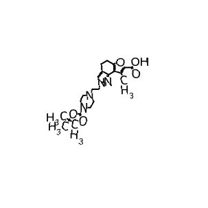 Cc1c(C(=O)O)oc2c1-c1nn(CCN3CCN(C(=O)OC(C)(C)C)CC3)cc1CC2